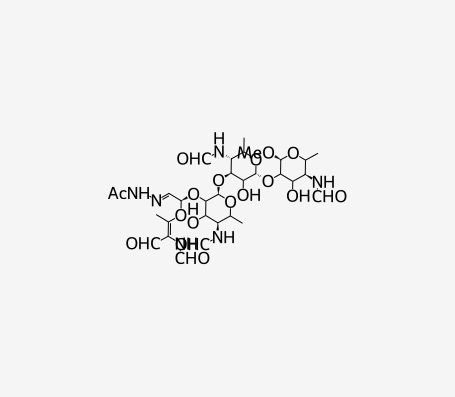 CO[C@H]1OC(C)[C@@H](NC=O)C(O)C1O[C@H]1OC(C)[C@@H](NC=O)[C@H](O[C@H]2OC(C)[C@@H](NC=O)C(O)C2O[C@H](/C=N/NC(C)=O)O/C(C)=C(/C=O)NC=O)C1O